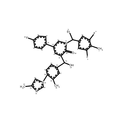 CCC(c1cc(F)c(C)c(F)c1)n1cc(-c2ccc(F)cc2)cc(C(O)c2ccc(-n3cnc(C)c3)c(C)c2)c1=O